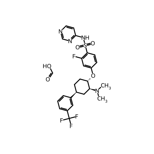 CN(C)[C@H]1C[C@@H](c2cccc(C(F)(F)F)c2)CC[C@@H]1Oc1ccc(S(=O)(=O)Nc2ccncn2)c(F)c1.O=CO